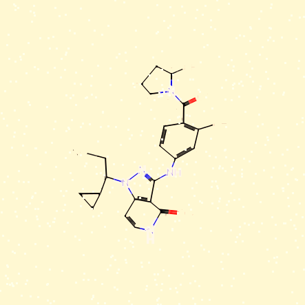 Cc1cc(Nc2nn(C(CC#N)C3CC3)c3cc[nH]c(=O)c23)ccc1C(=O)N1CCCC1C(F)(F)F